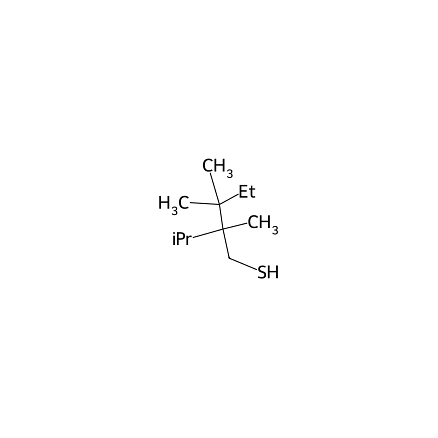 CCC(C)(C)C(C)(CS)C(C)C